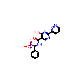 O=C(NC(c1ccccc1)[PH](=O)O)c1cnc(-c2cccnn2)nc1O